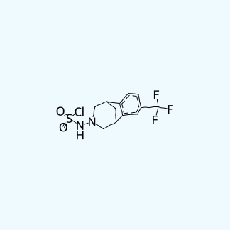 O=S(=O)(Cl)NN1CC2CC(C1)c1cc(C(F)(F)F)ccc12